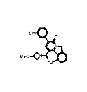 COC1CN(C(=O)c2cc(-c3cccc(Cl)c3)c(=O)n3c2-c2c(Cl)cccc2C3)C1